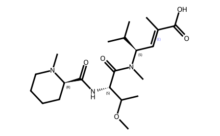 COC(C)[C@H](NC(=O)[C@H]1CCCCN1C)C(=O)N(C)[C@H](/C=C(\C)C(=O)O)C(C)C